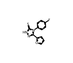 Fc1ccc(-n2c(-c3ccco3)n[nH]c2=S)cc1